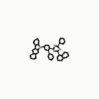 c1ccc(-c2nc(-c3ccc(-n4c5ccccc5c5cc6ccccc6cc54)cc3-c3ccccc3)nc(-c3cccc4ccccc34)n2)cc1